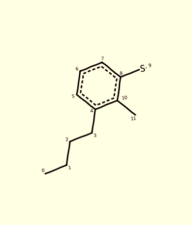 CCCCc1cccc([S])c1C